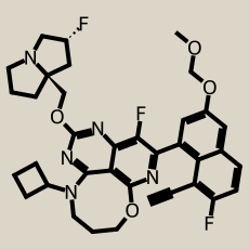 C#Cc1c(F)ccc2cc(OCOC)cc(-c3nc4c5c(nc(OC[C@@]67CCCN6C[C@H](F)C7)nc5c3F)N(C3CCC3)CCCO4)c12